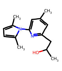 Cc1cc(CC(C)O)nc(-n2c(C)ccc2C)c1